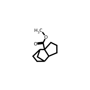 COC(=O)C12CCCC1C1CCC2C1